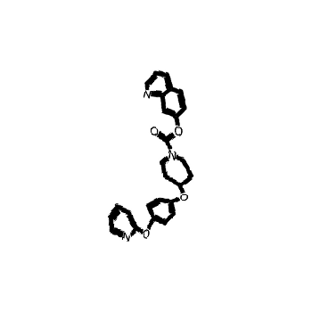 O=C(Oc1ccc2cccnc2c1)N1CCC(Oc2ccc(Oc3ccccn3)cc2)CC1